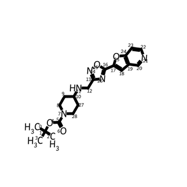 CC(C)(C)OC(=O)N1CCC(NCc2noc(-c3cc4cnccc4o3)n2)CC1